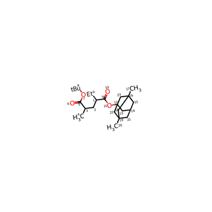 CCC(CC(C)C(=O)OC(C)(C)C)C(=O)OC12CC3CC(C)(CC(C)(C3)C1)C2